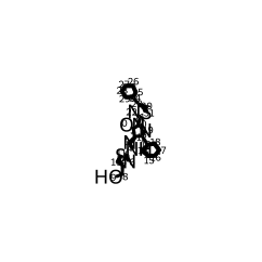 O=C1/C(=N/Nc2nc(CO)cs2)C(c2ccccc2)=NN1c1nc(-c2ccccc2)cs1